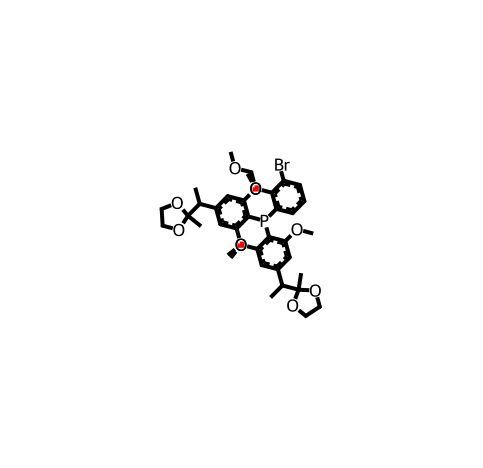 COCOc1c(Br)cccc1P(c1c(OC)cc(C(C)C2(C)OCCO2)cc1OC)c1c(OC)cc(C(C)C2(C)OCCO2)cc1OC